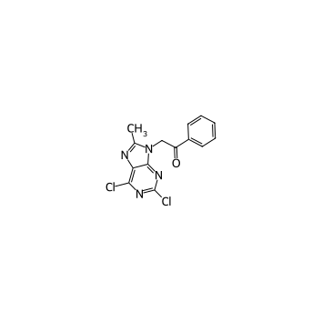 Cc1nc2c(Cl)nc(Cl)nc2n1CC(=O)c1ccccc1